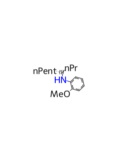 CCCCC[C@H](CCC)Nc1ccccc1OC